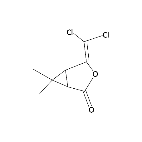 CC1(C)C2C(=O)OC(=C(Cl)Cl)C21